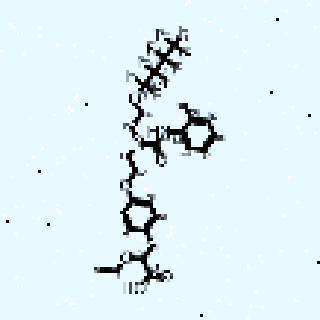 CCOC(Cc1ccc(OCCN(CCOC(F)(F)C(F)(F)C(F)(F)C(F)(F)F)C(=O)Nc2ccccc2C)cc1)C(=O)O